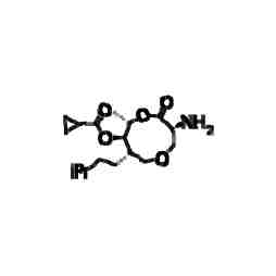 CC(C)CC[C@H]1COC[C@H](N)C(=O)O[C@@H](C)[C@@H]1OC(=O)C1CC1